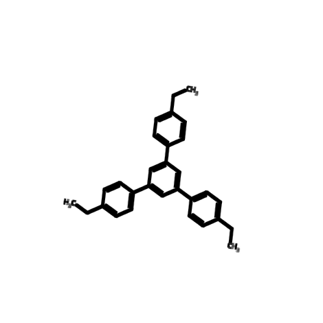 CCc1ccc(-c2cc(-c3ccc(CC)cc3)cc(-c3ccc(CC)cc3)c2)cc1